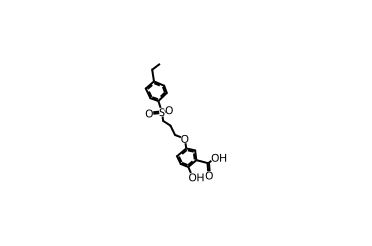 CCc1ccc(S(=O)(=O)CCCOc2ccc(O)c(C(=O)O)c2)cc1